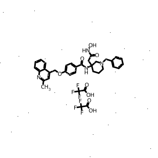 Cc1cc(COc2ccc(C(=O)NC3(CC(=O)NO)CCCN(Cc4ccccc4)C3)cc2)c2ccccc2n1.O=C(O)C(F)(F)F.O=C(O)C(F)(F)F